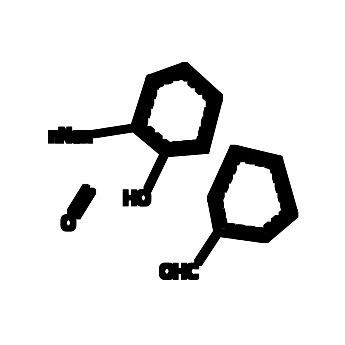 C=O.CCCCCCCCCc1ccccc1O.O=Cc1ccccc1